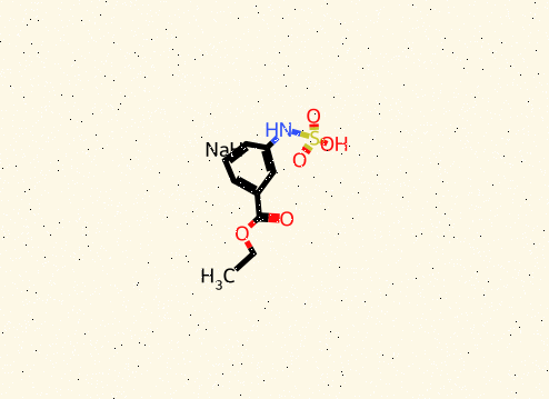 CCOC(=O)c1cccc(NS(=O)(=O)O)c1.[NaH]